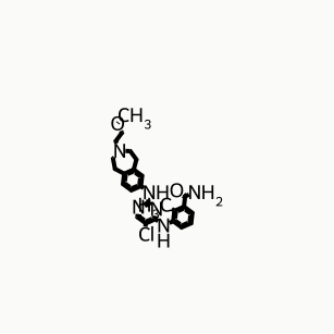 COCCN1CCc2ccc(Nc3ncc(Cl)c(Nc4cccc(C(N)=O)c4C)n3)cc2CC1